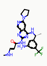 CNC=CC(=O)Nc1nc(N[C@H](C)c2cc(N)cc(C(F)(F)F)c2)c2cc(N3CCCC3)ncc2n1